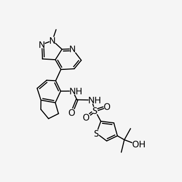 Cn1ncc2c(-c3ccc4c(c3NC(=O)NS(=O)(=O)c3cc(C(C)(C)O)cs3)CCC4)ccnc21